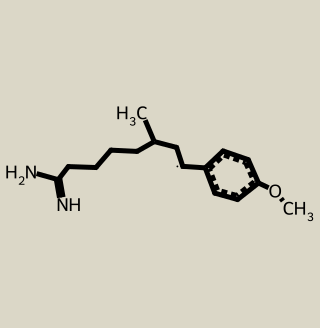 COc1ccc([CH]CC(C)CCCCC(=N)N)cc1